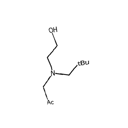 CC(=O)CN(CCO)CC(C)(C)C